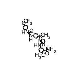 Cc1ccc(Nc2nccc(N(C)c3ccc(NC(=O)Nc4ccc(OC(F)(F)F)cc4)cc3)n2)cc1C(N)=O